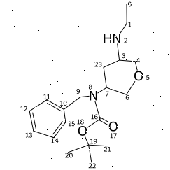 CCNC1COCC(N(Cc2ccccc2)C(=O)OC(C)(C)C)C1